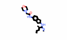 C=C/C=C(C)/C(=N\C)NC1Cc2ccc(NC(=O)CN3CCOCC3)cc2C1